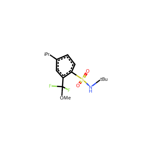 COC(F)(F)c1cc(C(C)C)ccc1S(=O)(=O)NC(C)(C)C